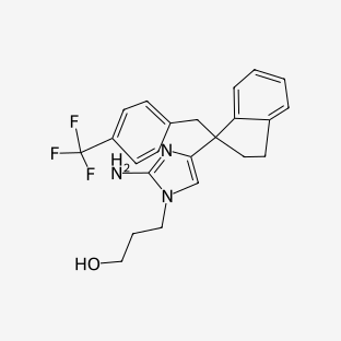 Nc1nc(C2(Cc3ccc(C(F)(F)F)cc3)CCc3ccccc32)cn1CCCO